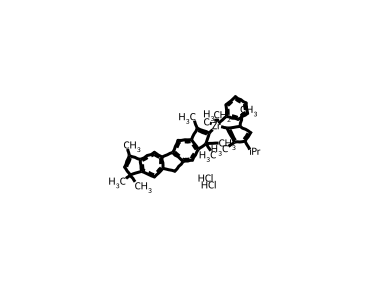 Cl.Cl.[CH2]=[Zr]([CH3])([C]1=C(C)C(C(C)C)=CC1C)([C]1=C(C)c2cc3c(cc2C1(C)C)Cc1cc2c(cc1-3)C(C)=CC2(C)C)[c]1ccccc1